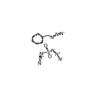 [N-]=[N+]=NCc1ccccc1.[N-]=[N+]=NS(=O)(=O)N=[N+]=[N-]